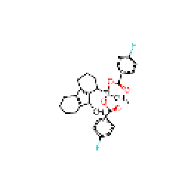 CC1C2=C(CCCC2)C2=C1[CH]([Ti]([CH3])([O]C(=O)c1ccc(F)cc1)[O]C(=O)c1ccc(F)cc1)CCC2